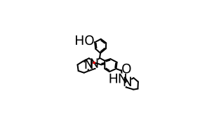 C=CCN1C2CCCC1CN(C(c1ccc(C(=O)NN3CCCCC3)cc1)c1cccc(O)c1)C2